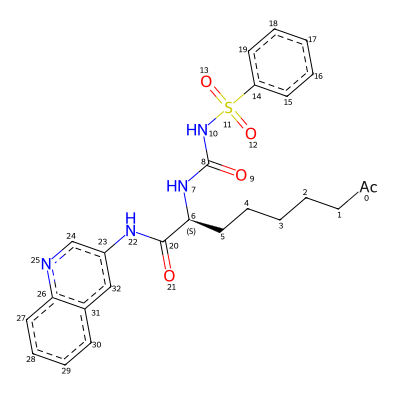 CC(=O)CCCCC[C@H](NC(=O)NS(=O)(=O)c1ccccc1)C(=O)Nc1cnc2ccccc2c1